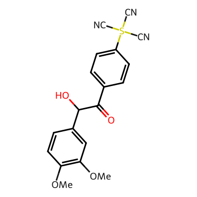 COc1ccc(C(O)C(=O)c2ccc(S(C#N)(C#N)C#N)cc2)cc1OC